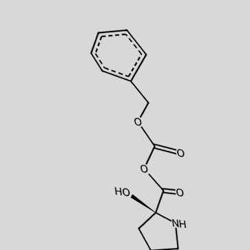 O=C(OCc1ccccc1)OC(=O)[C@@]1(O)CCCN1